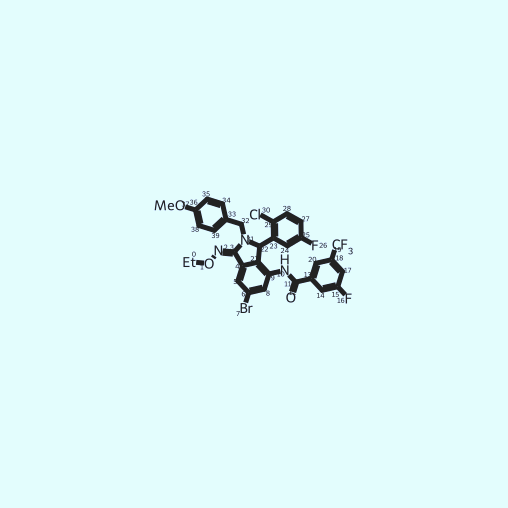 CCON=C1c2cc(Br)cc(NC(=O)c3cc(F)cc(C(F)(F)F)c3)c2C(c2cc(F)ccc2Cl)N1Cc1ccc(OC)cc1